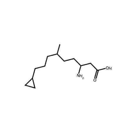 CC(CCCC1CC1)CCC(N)CC(=O)O